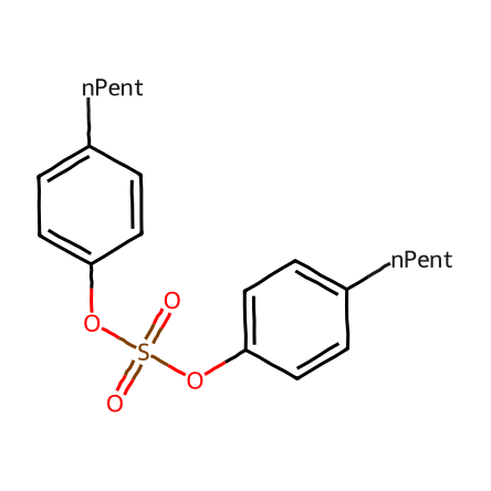 CCCCCc1ccc(OS(=O)(=O)Oc2ccc(CCCCC)cc2)cc1